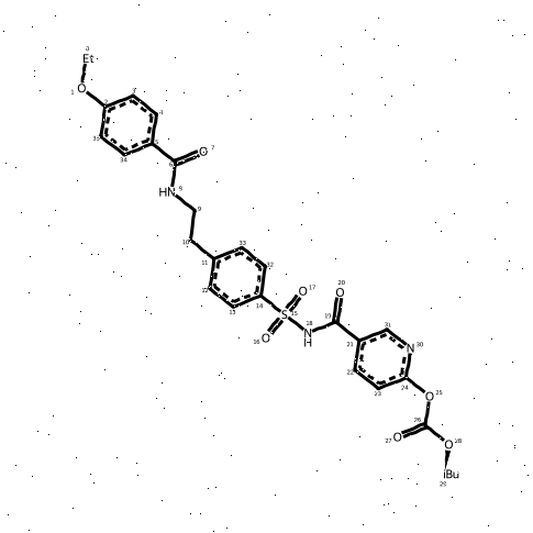 CCOc1ccc(C(=O)NCCc2ccc(S(=O)(=O)NC(=O)c3ccc(OC(=O)O[C@H](C)CC)nc3)cc2)cc1